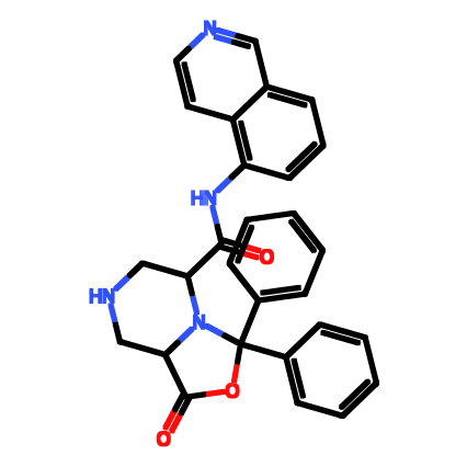 O=C(Nc1cccc2cnccc12)C1CNCC2C(=O)OC(c3ccccc3)(c3ccccc3)N12